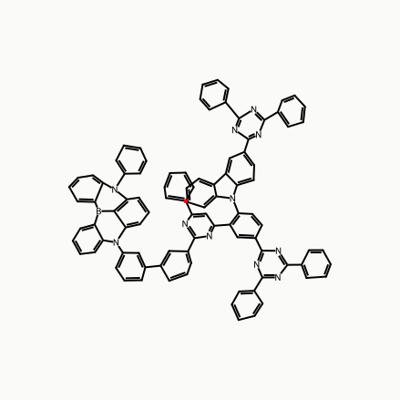 c1ccc(-c2cc(-c3cc(-c4nc(-c5ccccc5)nc(-c5ccccc5)n4)ccc3-n3c4ccccc4c4cc(-c5nc(-c6ccccc6)nc(-c6ccccc6)n5)ccc43)nc(-c3cccc(-c4cccc(N5c6ccccc6B6c7ccccc7N(c7ccccc7)c7cccc5c76)c4)c3)n2)cc1